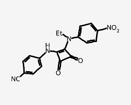 CCN(c1ccc([N+](=O)[O-])cc1)c1c(Nc2ccc(C#N)cc2)c(=O)c1=O